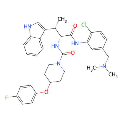 C[C@@H](c1c[nH]c2ccccc12)[C@@H](NC(=O)N1CCC(Oc2ccc(F)cc2)CC1)C(=O)Nc1cc(CN(C)C)ccc1Cl